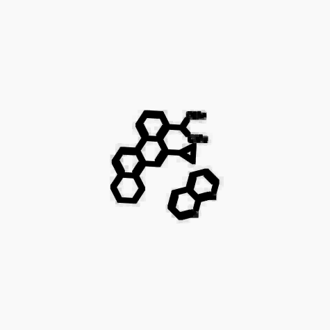 COC(OC)c1cccc2c1c(C1CC1)cc1c3c(ccc12)CCCC3.c1cnc2ncccc2c1